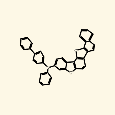 c1ccc(-c2ccc(N(c3ccccc3)c3ccc4c(c3)oc3ccc5c6ccc7ccccc7c6oc5c34)cc2)cc1